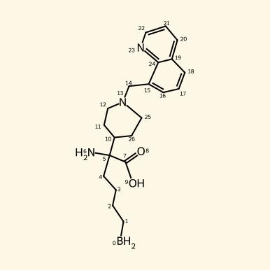 BCCCCC(N)(C(=O)O)C1CCN(Cc2cccc3cccnc23)CC1